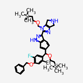 CCc1cc(OCc2ccccc2)c(F)cc1C(OCC[Si](C)(C)C)c1ccc2c(-c3nc4c(n3COCC[Si](C)(C)C)CNC4)n[nH]c2c1